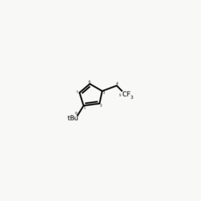 CC(C)(C)C1=CC(CC(F)(F)F)C=C1